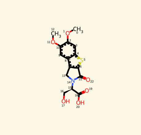 COc1cc2sc3c(c2cc1OC)CN([C@H](CO)C(=O)O)C3=O